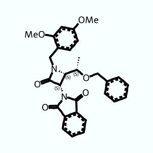 COc1ccc(CN2C(=O)[C@@H](N3C(=O)c4ccccc4C3=O)[C@H]2[C@H](C)OCc2ccccc2)c(OC)c1